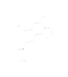 CC(C)(C)OC(=O)COc1c(CBr)cc(Br)c2occc12